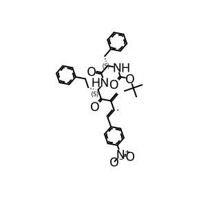 C=C([C]=Cc1ccc([N+](=O)[O-])cc1)C(=O)[C@H](CCc1ccccc1)NC(=O)[C@H](Cc1ccccc1)NC(=O)OC(C)(C)C